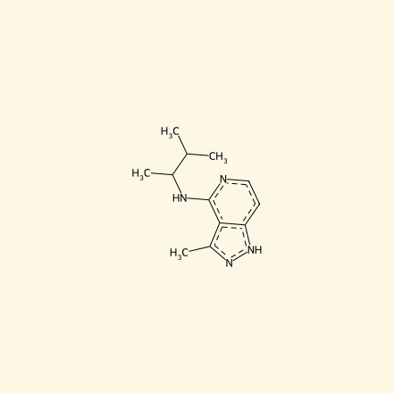 Cc1n[nH]c2ccnc(NC(C)C(C)C)c12